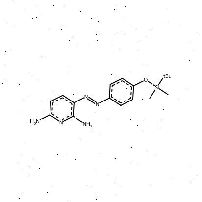 CC(C)(C)[Si](C)(C)Oc1ccc(N=Nc2ccc(N)nc2N)cc1